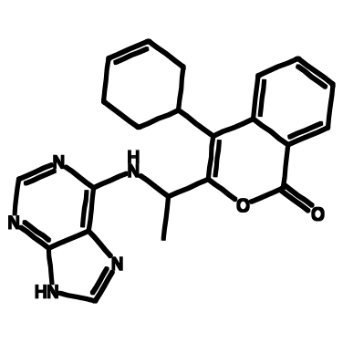 CC(Nc1ncnc2[nH]cnc12)c1oc(=O)c2ccccc2c1C1CC=CCC1